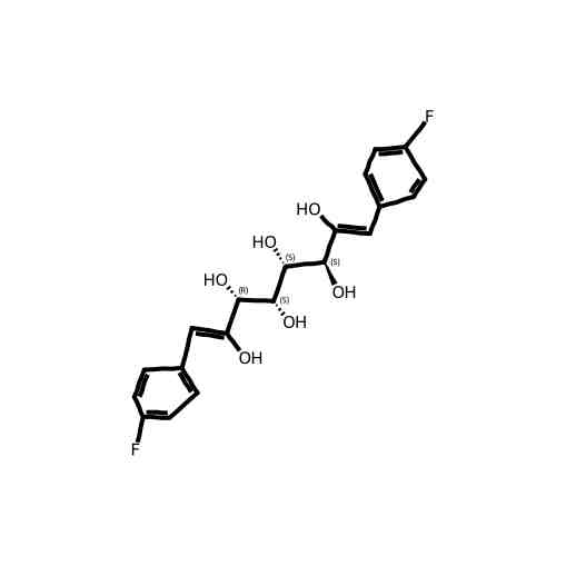 OC(=Cc1ccc(F)cc1)[C@@H](O)[C@@H](O)[C@H](O)[C@@H](O)C(O)=Cc1ccc(F)cc1